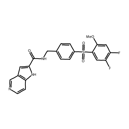 COc1cc(F)c(F)cc1S(=O)(=O)c1ccc(CNC(=O)c2cc3cnccc3[nH]2)cc1